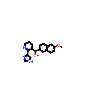 COc1ccc2cc(C(O)c3cccnc3-c3c[nH]cn3)ccc2c1